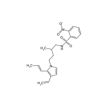 C=Cc1ccn(CCC(C)CNS(=O)(=O)c2ccccc2[N+](=O)[O-])c1C=CC